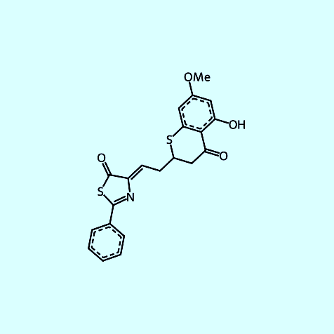 COc1cc(O)c2c(c1)SC(CC=C1N=C(c3ccccc3)SC1=O)CC2=O